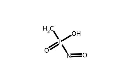 CP(=O)(O)N=O